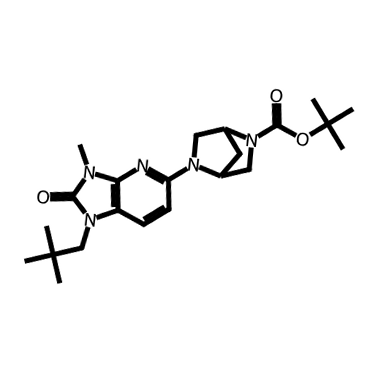 Cn1c(=O)n(CC(C)(C)C)c2ccc(N3CC4CC3CN4C(=O)OC(C)(C)C)nc21